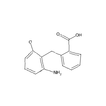 Nc1cccc(Cl)c1Cc1ccccc1C(=O)O